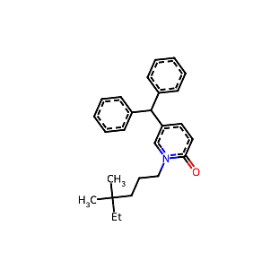 CCC(C)(C)CCCn1cc(C(c2ccccc2)c2ccccc2)ccc1=O